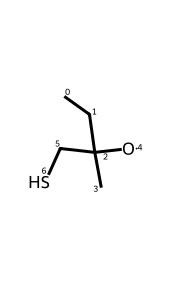 CCC(C)([O])CS